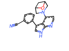 N#Cc1cccc(-c2c[nH]c3nccc(N4CC5CC(C4)O5)c23)c1